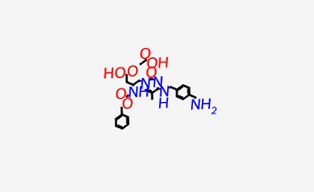 CC(=O)O.Cc1cn(CC(CC(=O)O)NC(=O)OCc2ccccc2)c(=O)nc1NCc1ccc(CN)cc1